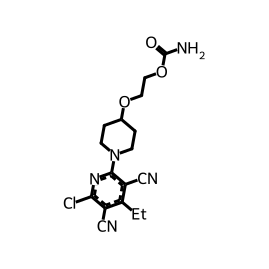 CCc1c(C#N)c(Cl)nc(N2CCC(OCCOC(N)=O)CC2)c1C#N